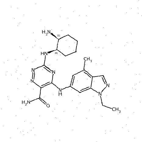 CCn1ncc2c(C)cc(Nc3nc(N[C@@H]4CCCC[C@@H]4N)nnc3C(N)=O)cc21